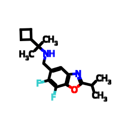 CC(C)c1nc2cc(CNC(C)(C)C3CCC3)c(F)c(F)c2o1